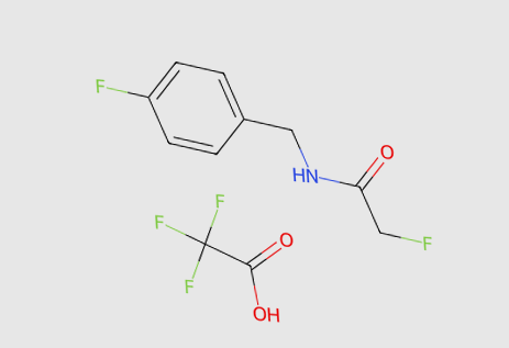 O=C(CF)NCc1ccc(F)cc1.O=C(O)C(F)(F)F